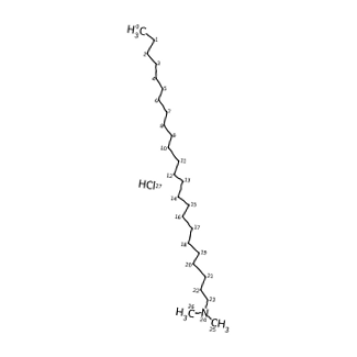 CCCCCCCCCCCCCCCCCCCCCCCCN(C)C.Cl